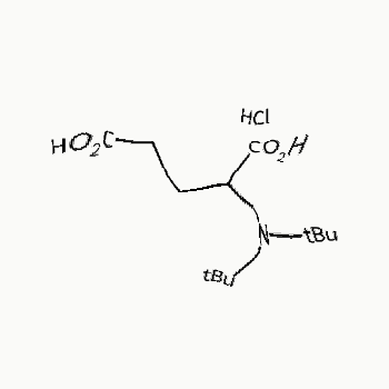 CC(C)(C)N(C(CCC(=O)O)C(=O)O)C(C)(C)C.Cl